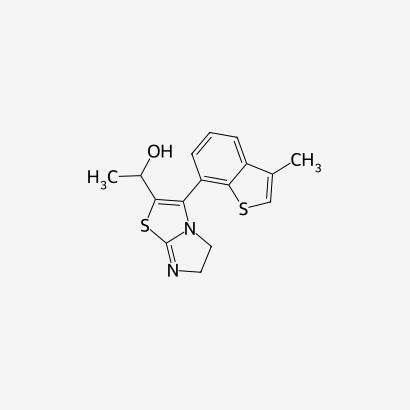 Cc1csc2c(C3=C(C(C)O)SC4=NCCN43)cccc12